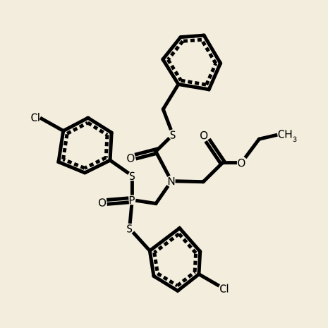 CCOC(=O)CN(CP(=O)(Sc1ccc(Cl)cc1)Sc1ccc(Cl)cc1)C(=O)SCc1ccccc1